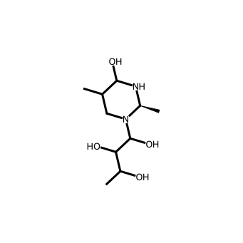 CC(O)C(O)C(O)N1CC(C)C(O)N[C@H]1C